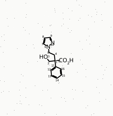 O=C(O)[C@@](CO)(CCn1cccn1)c1ccccc1